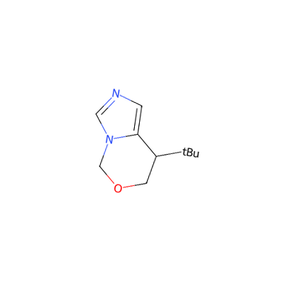 CC(C)(C)C1COCn2cncc21